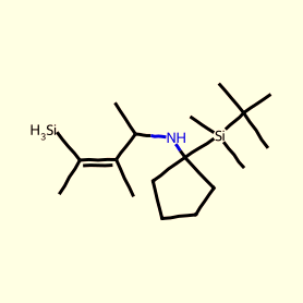 CC([SiH3])=C(C)C(C)NC1([Si](C)(C)C(C)(C)C)CCCC1